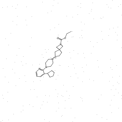 CCOC(=O)N1CC2(CC[C@@H](N3CCN(c4ncccc4C4CCCC4)CC3)C2)C1